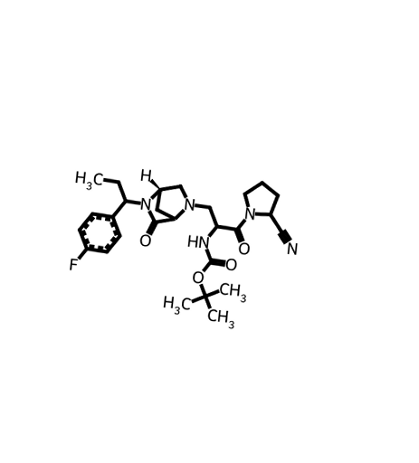 CCC(c1ccc(F)cc1)N1C(=O)C2C[C@H]1CN2CC(NC(=O)OC(C)(C)C)C(=O)N1CCCC1C#N